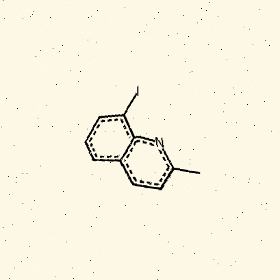 Cc1ccc2cccc(I)c2n1